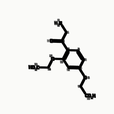 NCC(=O)c1ccc(OCC(=O)O)cc1OCC(=O)O